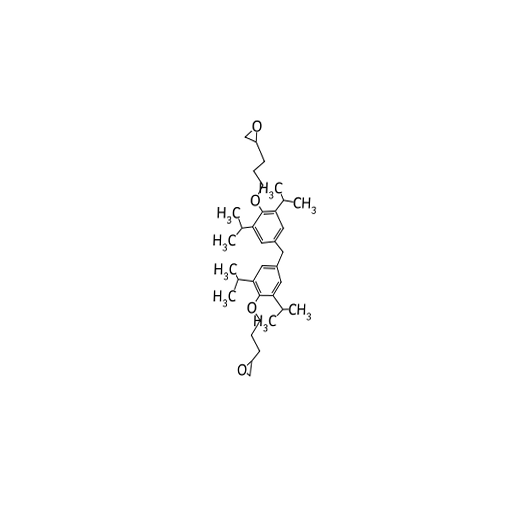 CC(C)c1cc(Cc2cc(C(C)C)c(OCCCC3CO3)c(C(C)C)c2)cc(C(C)C)c1OCCCC1CO1